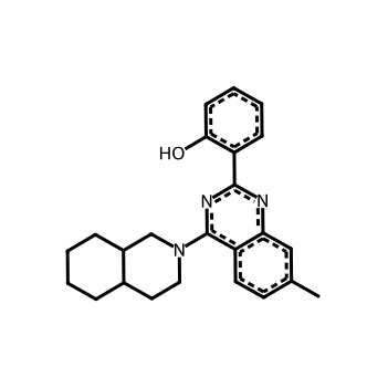 Cc1ccc2c(N3CCC4CCCCC4C3)nc(-c3ccccc3O)nc2c1